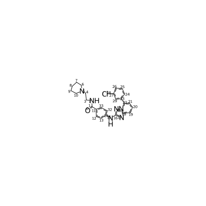 O=C(NCCN1CCCCC1)c1ccc(Nc2nc3cccc(-c4cccc(Cl)c4)n3n2)cc1